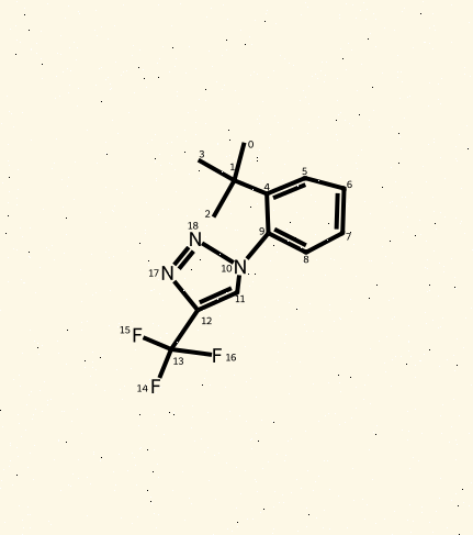 CC(C)(C)c1ccccc1-n1cc(C(F)(F)F)nn1